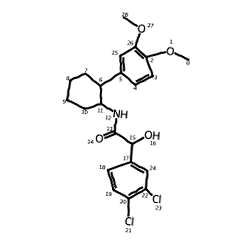 COc1ccc(C2CCCCC2NC(=O)C(O)c2ccc(Cl)c(Cl)c2)cc1OC